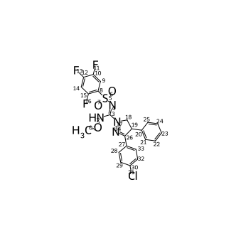 CON/C(=N\S(=O)(=O)c1cc(F)c(F)cc1F)N1CC(c2ccccc2)C(c2ccc(Cl)cc2)=N1